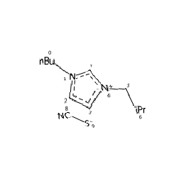 CCCCn1cc[n+](CC(C)C)c1.N#C[S-]